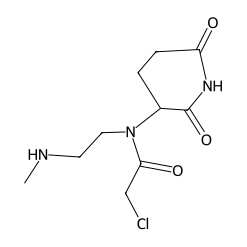 CNCCN(C(=O)CCl)C1CCC(=O)NC1=O